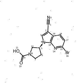 N#Cc1cn([C@H]2CCN(C(=O)O)C2)c2nc(Br)ccc12